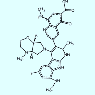 CNc1cc(F)cc2c3c([nH]c12)NC(C)C(c1cnc2c(c1)c(=O)c(C(=O)O)cn2NC)=C3N1C[C@H]2OCCN(C)[C@H]2C1